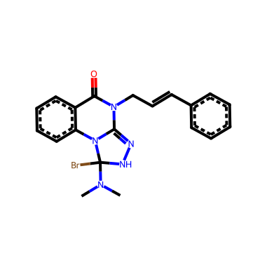 CN(C)C1(Br)NN=C2N(CC=Cc3ccccc3)C(=O)c3ccccc3N21